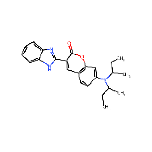 CCC(C)N(c1ccc2cc(-c3nc4ccccc4[nH]3)c(=O)oc2c1)C(C)CC